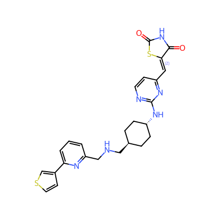 O=C1NC(=O)/C(=C/c2ccnc(N[C@H]3CC[C@H](CNCc4cccc(-c5ccsc5)n4)CC3)n2)S1